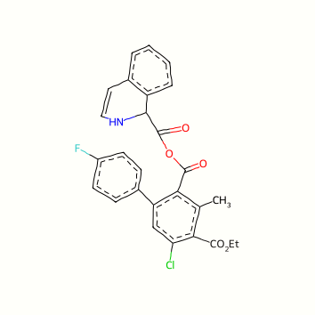 CCOC(=O)c1c(Cl)cc(-c2ccc(F)cc2)c(C(=O)OC(=O)C2NC=Cc3ccccc32)c1C